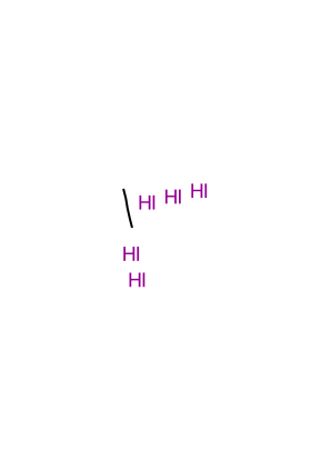 CC.I.I.I.I.I